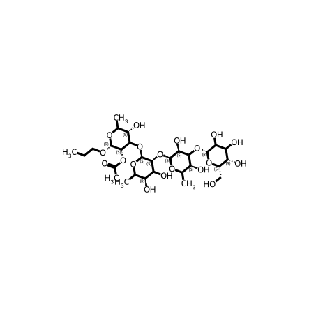 CCCO[C@@H]1OC(C)[C@H](O)C(O[C@@H]2OC(C)[C@H](O)C(O)[C@@H]2O[C@@H]2OC(C)[C@H](O)C(O[C@H]3O[C@@H](CO)[C@@H](O)C(O)C3O)[C@@H]2O)[C@@H]1OC(C)=O